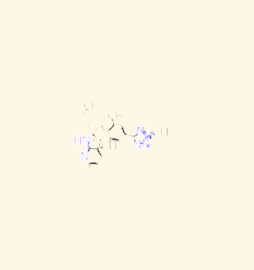 CCCCC1(Oc2c(C)cc(-c3nnn(C)n3)cc2C)Cc2cccnc2N1